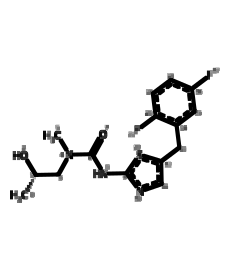 C[C@H](O)CN(C)C(=O)Nc1ncc(Cc2cc(F)ccc2F)s1